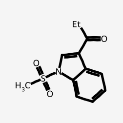 CCC(=O)c1cn(S(C)(=O)=O)c2ccccc12